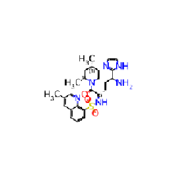 Cc1cnc2c(S(=O)(=O)N[C@@H](CCC(N)c3ncc[nH]3)C(=O)N3CC[C@@H](C)C[C@H]3C)cccc2c1